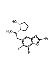 CC(C)c1nc2cc(CN(C)[C@H]3CCC[C@H]3O)c(F)c(F)c2o1